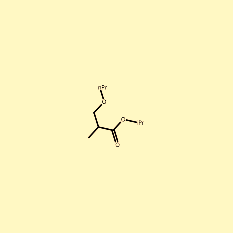 CCCOCC(C)C(=O)OC(C)C